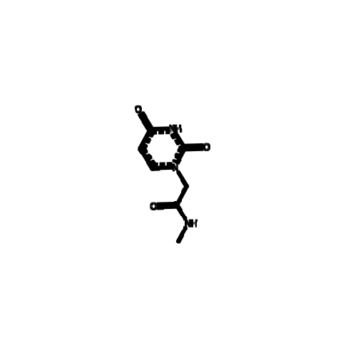 CNC(=O)Cn1ccc(=O)[nH]c1=O